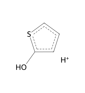 Oc1cccs1.[H+]